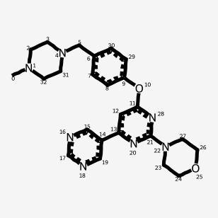 CN1CCN(Cc2ccc(Oc3cc(-c4cncnc4)nc(N4CCOCC4)n3)cc2)CC1